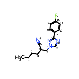 CCCCC(C#N)Cn1cnc(-c2ccc(F)cc2)n1